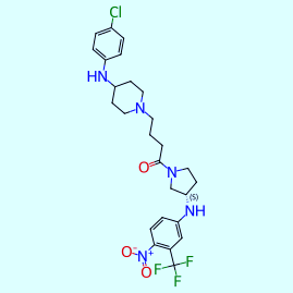 O=C(CCCN1CCC(Nc2ccc(Cl)cc2)CC1)N1CC[C@H](Nc2ccc([N+](=O)[O-])c(C(F)(F)F)c2)C1